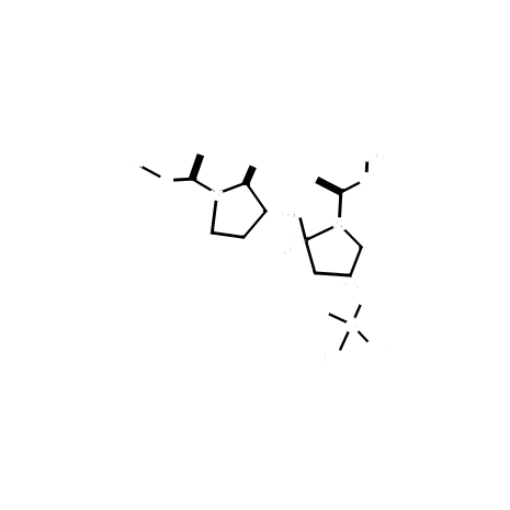 CC(C)(C)OC(=O)N1CC[C@@H](C[C@]2(O)C[C@@H](O[Si](C)(C)C(C)(C)C)CN2C(=O)OC(C)(C)C)C1=O